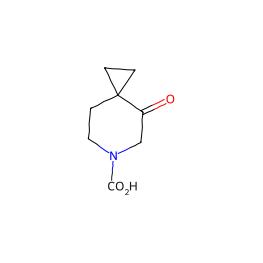 O=C(O)N1CCC2(CC2)C(=O)C1